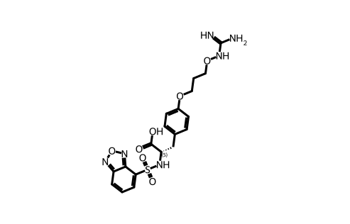 N=C(N)NOCCCOc1ccc(C[C@H](NS(=O)(=O)c2cccc3nonc23)C(=O)O)cc1